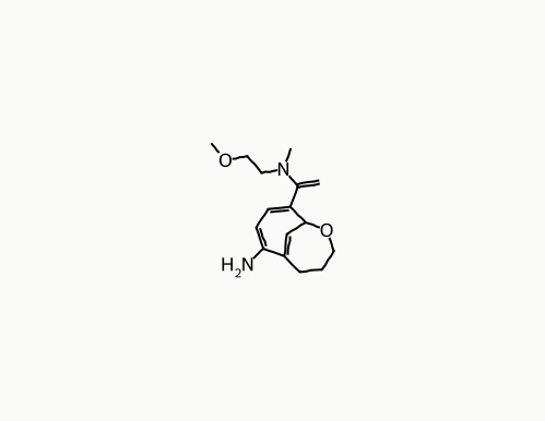 C=C(C1=CC=C(N)C2=CC1OCCC2)N(C)CCOC